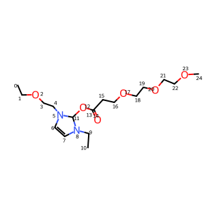 CCOCCN1C=CN(CC)C1OC(=O)CCOCCOCCOC